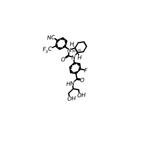 N#Cc1ccc(N2C(=O)N(c3ccc(C(=O)NC(CO)CO)c(F)c3)[C@H]3CCCC[C@@H]32)cc1C(F)(F)F